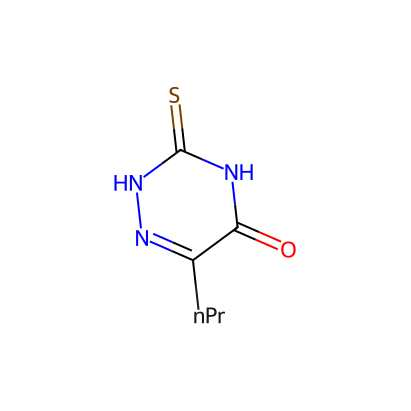 CCCc1n[nH]c(=S)[nH]c1=O